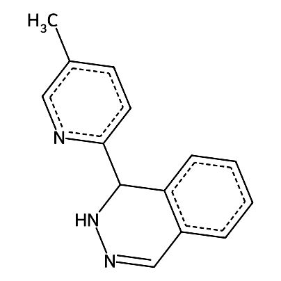 Cc1ccc(C2NN=Cc3ccccc32)nc1